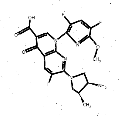 COc1nc(-n2cc(C(=O)O)c(=O)c3cc(F)c(N4C[C@@H](N)[C@@H](C)C4)nc32)c(F)cc1F